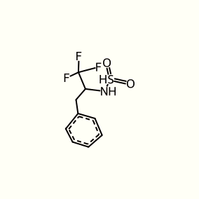 O=[SH](=O)NC(Cc1ccccc1)C(F)(F)F